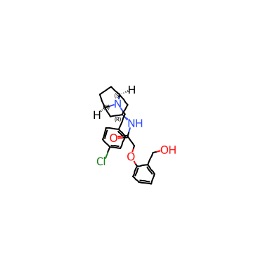 O=C(COc1ccccc1CO)N[C@H]1C[C@H]2CC[C@@H](C1)N2Cc1ccc(Cl)cc1